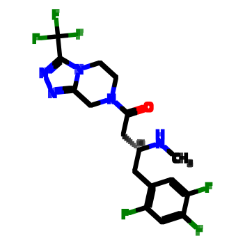 CN[C@@H](CC(=O)N1CCn2c(nnc2C(F)(F)F)C1)Cc1cc(F)c(F)cc1F